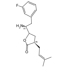 CC(C)=CC[C@@H]1CC([C@@H](N)Cc2cccc(F)c2)OC1=O